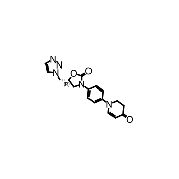 O=C1C=CN(c2ccc(N3C[C@H](Cn4ccnn4)OC3=O)cc2)CC1